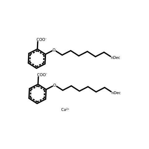 CCCCCCCCCCCCCCCCOc1ccccc1C(=O)[O-].CCCCCCCCCCCCCCCCOc1ccccc1C(=O)[O-].[Ca+2]